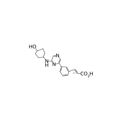 O=C(O)/C=C/c1cccc(-c2cncc(NC3CCC(O)CC3)n2)c1